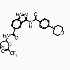 CC(C)CC(NC(=O)c1ccc2[nH]nc(NC(=O)c3ccc(N4CCOCC4)cc3)c2c1)OC(=O)C(F)(F)F